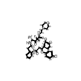 CC(C)[C@H](NC(=O)Cc1ccccc1NC(=O)CC(Oc1ccc(Cl)cc1)c1ccc(Cl)c(Cl)c1)C(=O)C(F)(F)C(=O)NCCN1CCOCC1